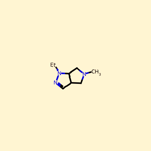 CCN1N=CC2CN(C)CC21